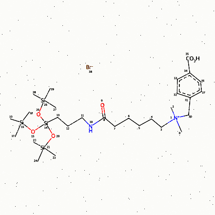 C[N+](C)(CCCCCC(=O)NCCC[Si](O[Si](C)(C)C)(O[Si](C)(C)C)O[Si](C)(C)C)Cc1ccc(C(=O)O)cc1.[Br-]